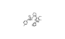 CCc1c(C)nc(-n2ccnc2)nc1N1CCCCC1CC(=O)NCc1ccc(C)cc1